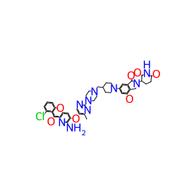 COc1cc(N2CCC(CN3CCN(c4ncc(Oc5cc6oc7cccc(Cl)c7c(=O)c6nc5N)c(C)n4)CC3)CC2)cc2c1CN(C1CCC(=O)NC1=O)C2=O